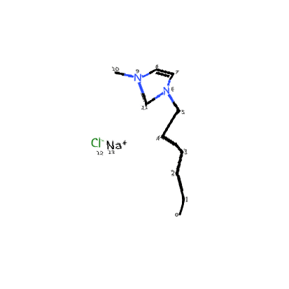 CCCCCCN1C=CN(C)C1.[Cl-].[Na+]